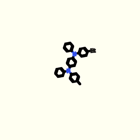 CCc1ccc(N(c2ccccc2)c2ccc(N(c3ccccc3)c3ccc(C)cc3)cc2)cc1